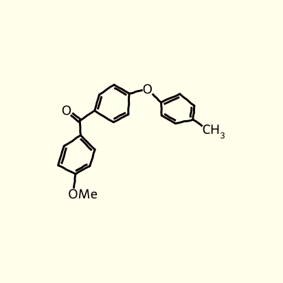 COc1ccc(C(=O)c2ccc(Oc3ccc(C)cc3)cc2)cc1